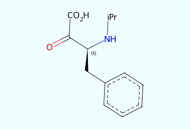 CC(C)N[C@@H](Cc1ccccc1)C(=O)C(=O)O